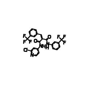 O=C(Nc1cccc(C(F)(F)F)c1)C(=Cc1cccc(C(F)(F)F)c1)C(=O)Nc1ccnc(Cl)c1